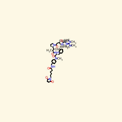 CC[C@H](C)[C@@H]([C@@H](CC(=O)N1CCC[C@H]1[C@H](OC)[C@@H](C)C(=O)N[C@@H](Cc1ccccc1)C(=O)N(C)c1ccc(CNC(=O)CCCCCN2C(=O)C=CC2=O)cc1)OC)N(C)C(=O)[C@@H](N=C(N(C)C)N(C)C)C(C)C